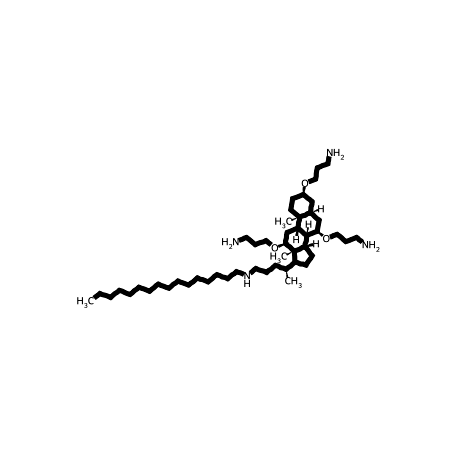 CCCCCCCCCCCCCCCCNCCC[C@@H](C)C1CC[C@H]2[C@@H]3[C@H](OCCCN)C[C@@H]4C[C@H](OCCCN)CC[C@]4(C)[C@H]3C[C@H](OCCCN)[C@]12C